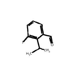 CC(C)c1c(I)cccc1C=O